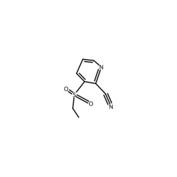 CCS(=O)(=O)c1cccnc1C#N